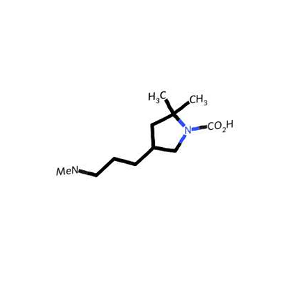 CNCCCC1CN(C(=O)O)C(C)(C)C1